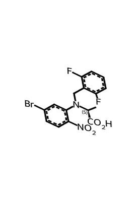 C[C@@H](C(=O)O)N(Cc1c(F)cccc1F)c1cc(Br)ccc1[N+](=O)[O-]